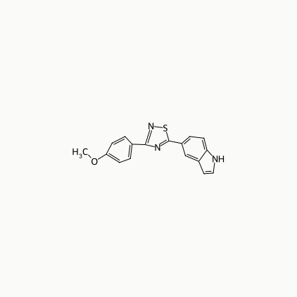 COc1ccc(-c2nsc(-c3ccc4[nH]ccc4c3)n2)cc1